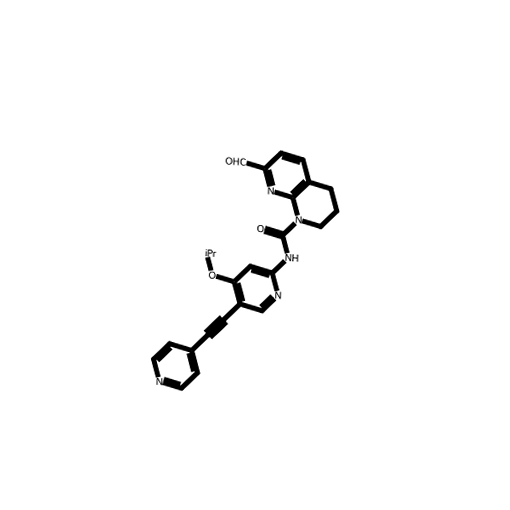 CC(C)Oc1cc(NC(=O)N2CCCc3ccc(C=O)nc32)ncc1C#Cc1ccncc1